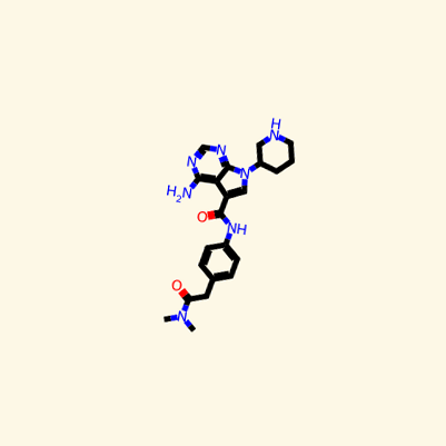 CN(C)C(=O)Cc1ccc(NC(=O)c2cn(C3CCCNC3)c3ncnc(N)c23)cc1